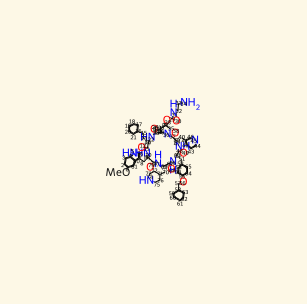 COc1ccc2[nH]cc(C[C@H]3NC(=O)[C@H](CCc4ccccc4)NC(=O)[C@@H]4C[C@@H](OC(=O)NCCN)CN4C(=O)[C@H](Cc4cccnc4)NC(=O)[C@H](Cc4ccc(OCc5ccccc5)cc4)NC(=O)[C@H](CC4CCNCC4)NC3=O)c2c1